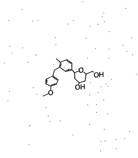 COc1ccc(Cc2cc(C3CC(O)CC(CO)O3)ccc2C)cc1